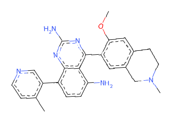 COc1cc2c(cc1-c1nc(N)nc3c(-c4cnccc4C)ccc(N)c13)CN(C)CC2